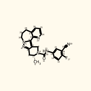 C[C@@H]1Cc2nn3c(c2CN1C(=O)Nc1ccc(F)c(C#N)c1)-c1ncccc1CCC3